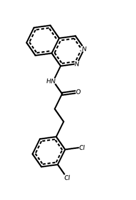 O=C(CCc1cccc(Cl)c1Cl)Nc1nncc2ccccc12